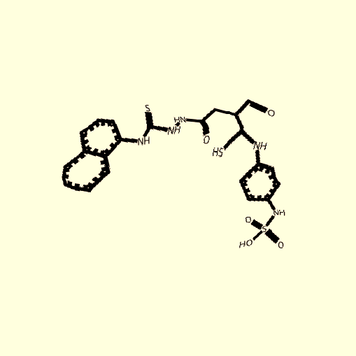 O=CC(CC(=O)NNC(=S)Nc1cccc2ccccc12)C(S)Nc1ccc(NS(=O)(=O)O)cc1